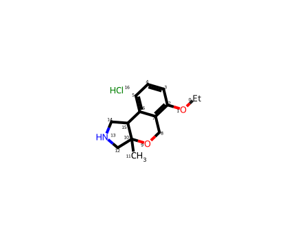 CCOc1cccc2c1COC1(C)CNCC21.Cl